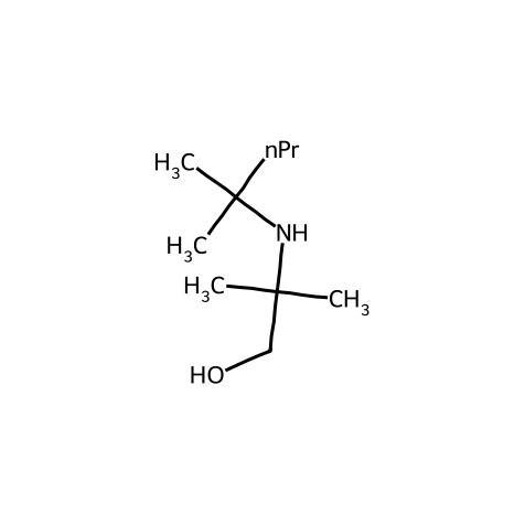 CCCC(C)(C)NC(C)(C)CO